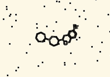 Brc1ccc2c(c1)CC(C1CCCC(C3CCCCCC3)CC1)OC2